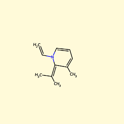 C=CN1C=CC=C(C)C1=C(C)C